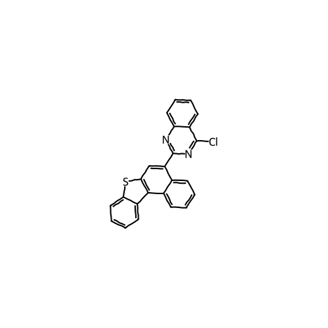 Clc1nc(-c2cc3sc4ccccc4c3c3ccccc23)nc2ccccc12